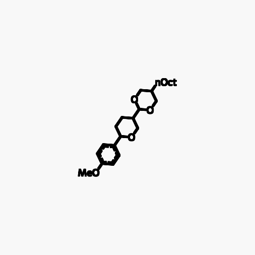 CCCCCCCCC1COC(C2CCC(c3ccc(OC)cc3)OC2)OC1